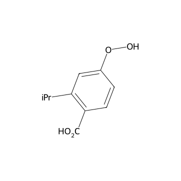 CC(C)c1cc(OO)ccc1C(=O)O